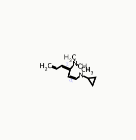 C=C/C=C(\C=C/N(C)C1CC1)N(C)C